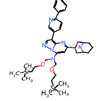 BN1C2CCCC1CC(c1cc(N(COCC[Si](C)(C)C)COCC[Si](C)(C)C)n3ncc(-c4ccc(-c5ccccc5)nc4)c3n1)C2